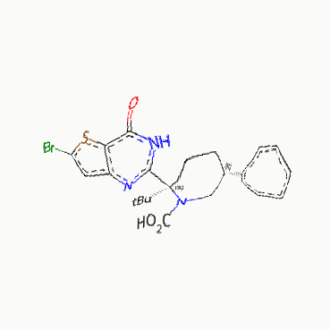 CC(C)(C)[C@]1(c2nc3cc(Br)sc3c(=O)[nH]2)CC[C@H](c2ccccc2)CN1C(=O)O